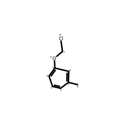 Cc1cccc(O[CH]Cl)c1